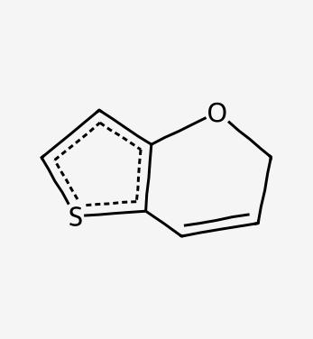 C1=Cc2sccc2OC1